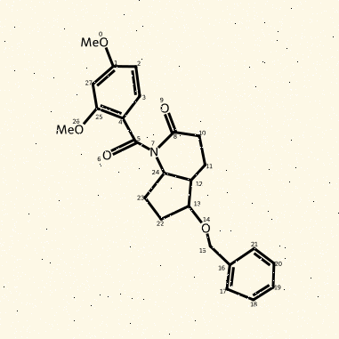 COc1ccc(C(=O)N2C(=O)CCC3C(OCc4ccccc4)CCC32)c(OC)c1